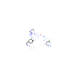 C=C(NCC(=O)N1CCN(c2c(Cl)cncc2Cl)CC1)n1ccnc/c1=N/Cc1ccc2c(ccn2C)c1